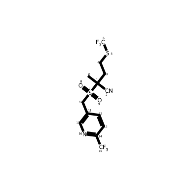 CC(C#N)(CCSC(F)(F)F)S(=O)(=O)Cc1ccc(C(F)(F)F)nc1